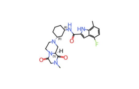 Cc1ccc(F)c2cc(C(=O)N[C@@H]3CCC[C@@H](N4CCN5C(=O)CN(C)C(=O)[C@@H]5C4)C3)[nH]c12